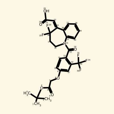 CC(C)(C)OC(=O)COc1ccc(C(=O)N2CCC(F)(F)C(=CC(=O)O)c3ccccc32)c(C(F)(F)F)c1